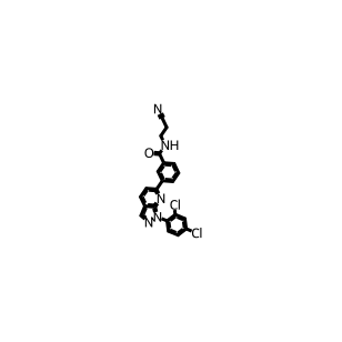 N#CCCNC(=O)c1cccc(-c2ccc3cnn(-c4ccc(Cl)cc4Cl)c3n2)c1